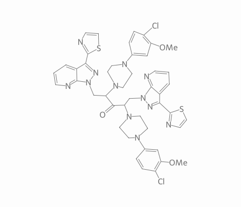 COc1cc(N2CCN(C(Cn3nc(-c4nccs4)c4cccnc43)C(=O)C(Cn3nc(-c4nccs4)c4cccnc43)N3CCN(c4ccc(Cl)c(OC)c4)CC3)CC2)ccc1Cl